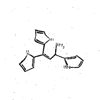 [SiH3]C(C=C(c1ccc[nH]1)c1ccc[nH]1)c1ccc[nH]1